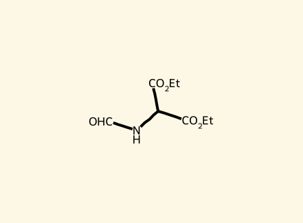 CCOC(=O)C(NC=O)C(=O)OCC